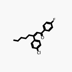 CCCCCC(=CC(=O)c1ccc(F)cc1)c1ccc(Cl)cc1